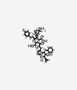 CC(C)(N)CS(=O)(=O)C[C@@H](Cc1ccc(F)cc1)C(=O)N[C@H](C(=O)O)N(CC(=O)O)C(=O)CCc1cncn1[C@@H](CC1CCCCC1)[C@@H](O)[C@@H](O)C1CC1